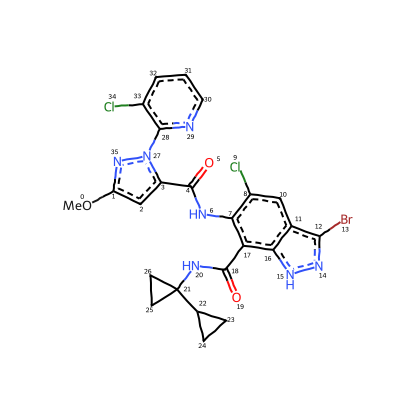 COc1cc(C(=O)Nc2c(Cl)cc3c(Br)n[nH]c3c2C(=O)NC2(C3CC3)CC2)n(-c2ncccc2Cl)n1